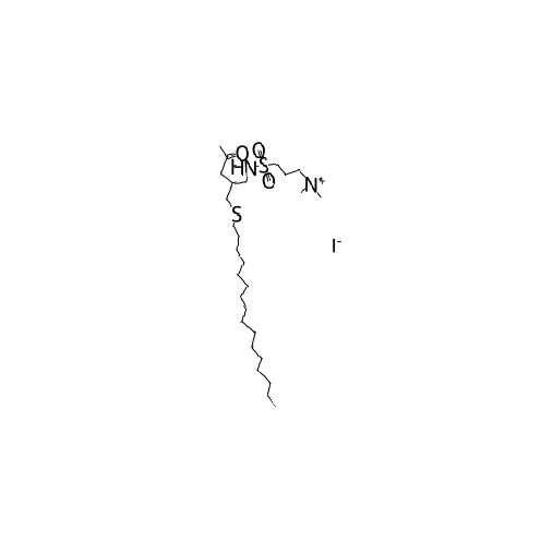 CCCCCCCCCCCCCCCCSCC(CNS(=O)(=O)CCC[N+](C)(C)C)CC(C)=O.[I-]